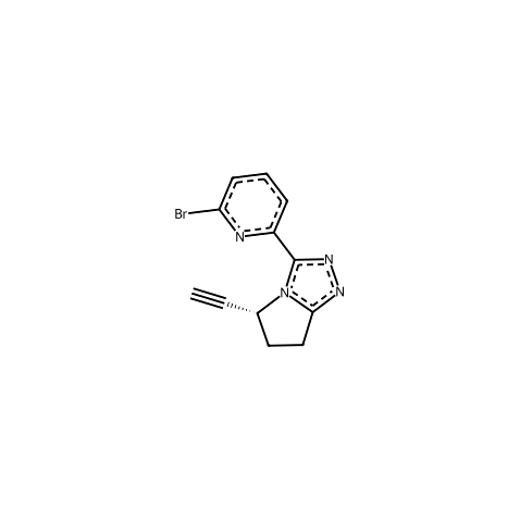 C#C[C@H]1CCc2nnc(-c3cccc(Br)n3)n21